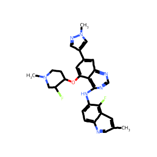 Cc1cnc2ccc(Nc3ncnc4cc(-c5cnn(C)c5)cc(OC5CCN(C)CC5F)c34)c(F)c2c1